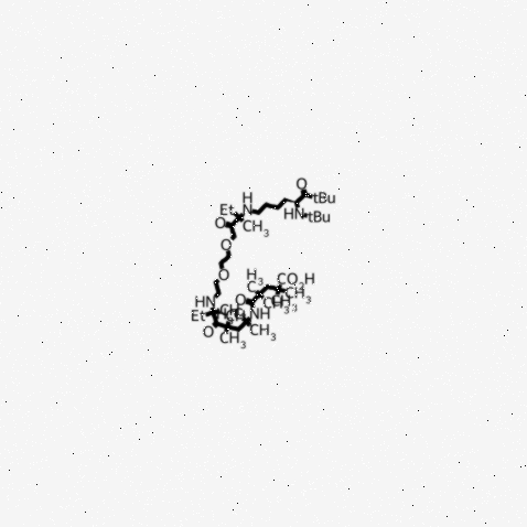 CCC(C)(NCCCC[C@H](NC(C)(C)C)C(=O)C(C)(C)C)C(=O)COCCOCCNC(C)(CC)C(=O)C(C)(C)CC(C)(C)NC(=O)C(C)(C)CC(C)(C)C(=O)O